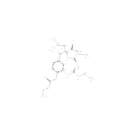 CCOC(=O)Oc1ccc(C[C@](NC(C)C)(OC(=O)OC)C(=O)O)cc1OC(=O)OCC